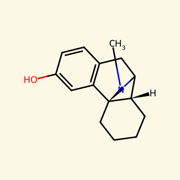 CN1C[C@]23CCCC[C@H]2C1Cc1ccc(O)cc13